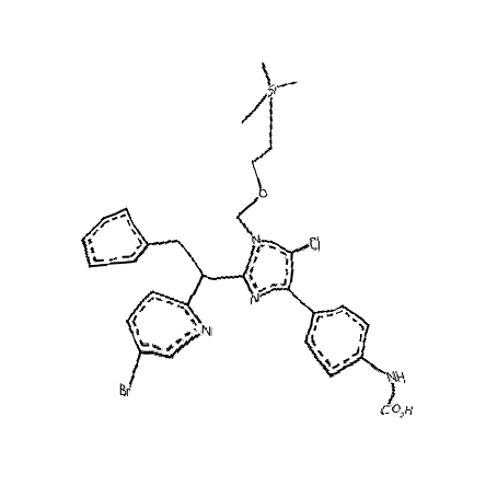 C[Si](C)(C)CCOCn1c(C(Cc2ccccc2)c2ccc(Br)cn2)nc(-c2ccc(NC(=O)O)cc2)c1Cl